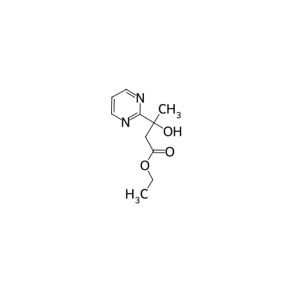 CCOC(=O)CC(C)(O)c1ncccn1